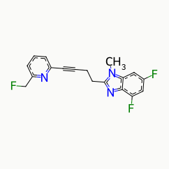 Cn1c(CCC#Cc2cccc(CF)n2)nc2c(F)cc(F)cc21